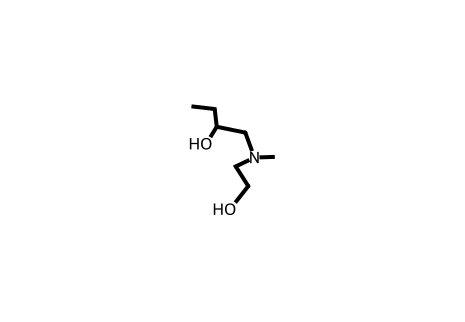 CCC(O)CN(C)CCO